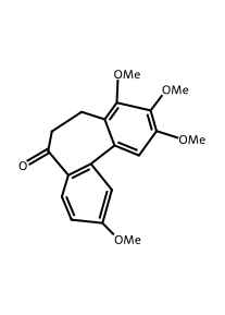 COc1ccc2c(c1)-c1cc(OC)c(OC)c(OC)c1CCC2=O